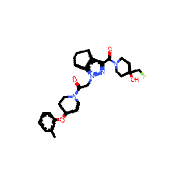 Cc1ccccc1OC1CCN(C(=O)Cn2nc(C(=O)N3CCC(O)(CF)CC3)c3c2CCC3)CC1